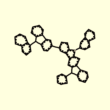 c1ccc(C2c3ccccc3-c3cc4c(cc32)c2cc(-c3ccc5c(c3)-c3ccccc3C5c3cccc5ccccc35)ccc2n4-c2ccc3ccccc3c2)cc1